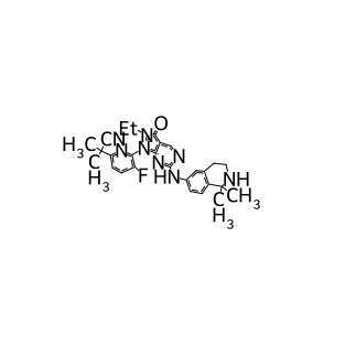 CCn1c(=O)c2cnc(Nc3ccc4c(c3)CCNC4(C)C)nc2n1-c1nc(C(C)(C)C#N)ccc1F